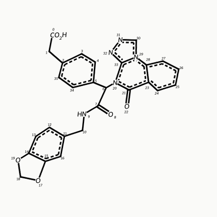 O=C(O)Cc1ccc(C(C(=O)NCc2ccc3c(c2)OCO3)n2c(=O)c3ccccc3n3cnnc23)cc1